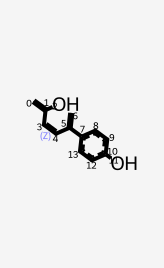 C=C(O)/C=C\C(=C)c1ccc(O)cc1